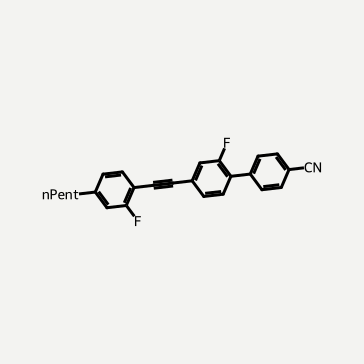 CCCCCc1ccc(C#Cc2ccc(-c3ccc(C#N)cc3)c(F)c2)c(F)c1